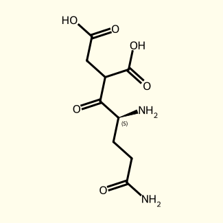 NC(=O)CC[C@H](N)C(=O)C(CC(=O)O)C(=O)O